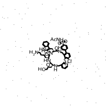 CC(=O)NS(=O)(=O)c1ccc(-c2ccc(Cl)c3c2CNC(=O)[C@H](Cc2c[nH]c4ccccc24)N(C)C(=O)[C@H](CCCCN)NC(=O)[C@H](CCCO)NCc2cccnc2S3)cc1